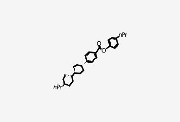 CCCc1ccc(OC(=O)c2ccc([C@H]3CC[C@H]([C@H]4CC[C@H](CCC)CC4)CC3)cc2)cc1